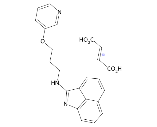 O=C(O)/C=C/C(=O)O.c1cncc(OCCCNC2=Nc3cccc4cccc2c34)c1